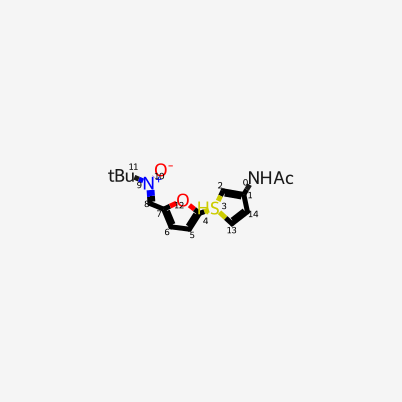 CC(=O)NC1=C[SH](c2ccc(C=[N+]([O-])C(C)(C)C)o2)C=C1